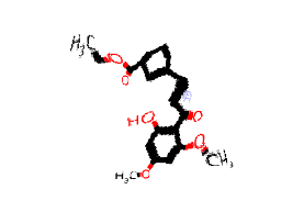 CCOC(=O)c1cccc(/C=C/C(=O)c2c(O)cc(OC)cc2OC)c1